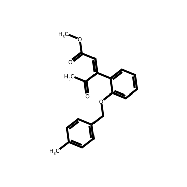 COC(=O)C=C(C(C)=O)c1ccccc1OCc1ccc(C)cc1